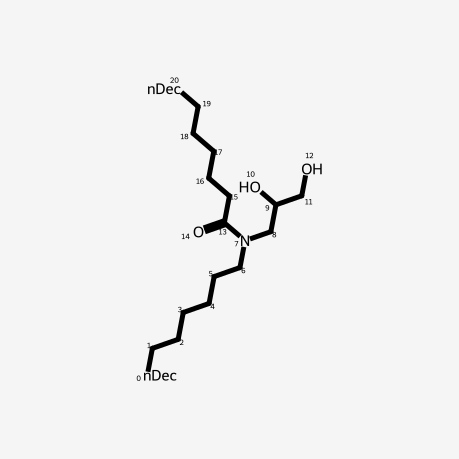 CCCCCCCCCCCCCCCCN(CC(O)CO)C(=O)CCCCCCCCCCCCCCC